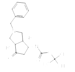 CC(C)(C)OC(=O)N[C@@H]1CC(=O)[C@H]2CN(Cc3ccccc3)C[C@H]21